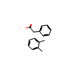 Cc1ccccc1C.O=C(O)Cc1ccccc1